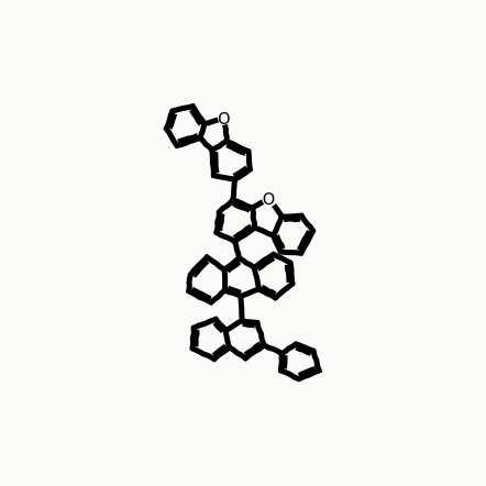 c1ccc(-c2cc(-c3c4ccccc4c(-c4ccc(-c5ccc6oc7ccccc7c6c5)c5oc6ccccc6c45)c4ccccc34)c3ccccc3c2)cc1